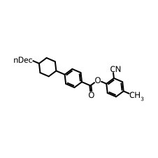 CCCCCCCCCCC1CCC(c2ccc(C(=O)Oc3ccc(C)cc3C#N)cc2)CC1